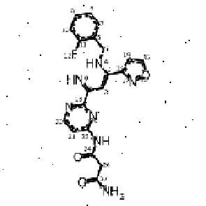 N=C(/C=C(\NCc1ccccc1F)c1ccon1)c1nccc(NC(=O)CC(N)=O)n1